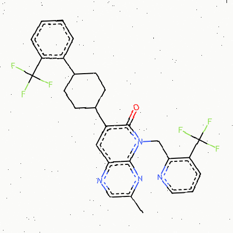 Cc1cnc2cc(C3CCC(c4ccccc4C(F)(F)F)CC3)c(=O)n(Cc3ncccc3C(F)(F)F)c2n1